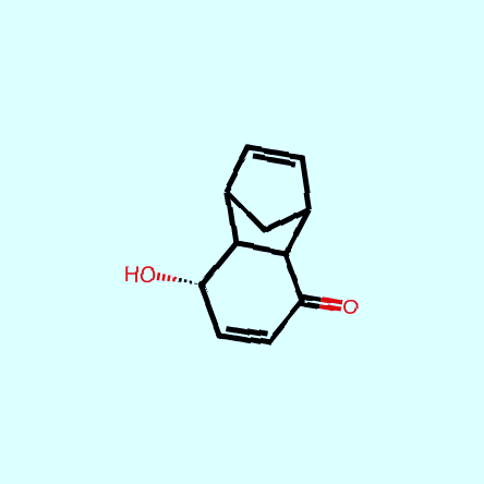 O=C1C=C[C@H](O)C2C3C=CC(C3)C12